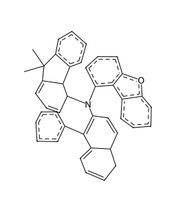 CC1(C)C2=CC=CC(N(C3=C(c4ccccc4)C4=CC=CCC4C=C3)c3cccc4oc5ccccc5c34)C2c2ccccc21